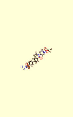 CC(C)(C)OC(=O)N1CCC(N(C(=O)c2ccc(-c3ccc(S(N)(=O)=O)cc3)cc2)C2CC2)CC1